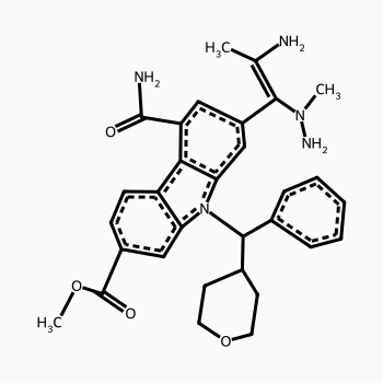 COC(=O)c1ccc2c3c(C(N)=O)cc(/C(=C(\C)N)N(C)N)cc3n(C(c3ccccc3)C3CCOCC3)c2c1